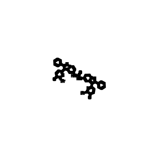 CC(C)n1nc(-c2c(-c3ccccc3)nn3ccc(NC(=O)Nc4ccn5nc(-c6ccccc6)c(-c6ccc(=O)n(C(C)C)n6)c5c4)cc23)ccc1=O